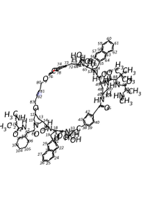 CN[C@@H](C)C(=O)N[C@H](C(=O)N1CC2CC1C(=O)N[C@@H](Cc1ccc3ccccc3c1)C(=O)N[C@H](C(=O)O)Cc1ccc(cc1)C(=O)N[C@H]1C[C@@H](C(=O)N[C@@H](Cc3ccc4ccccc4c3)C(=O)N[C@H](C(=O)O)Cc3ccc(cc3)OC/C=C/CO2)N(C(=O)[C@@H](NC(=O)[C@H](C)NC)C(C)(C)C)C1)C1CCCCC1